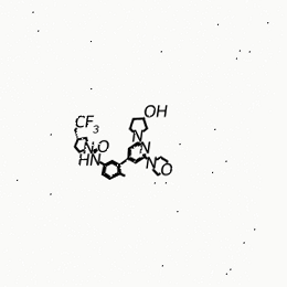 Cc1ccc(NC(=O)N2CC[C@@H](CC(F)(F)F)C2)cc1-c1cc(N2CCOCC2)nc(N2CC[C@H](O)C2)c1